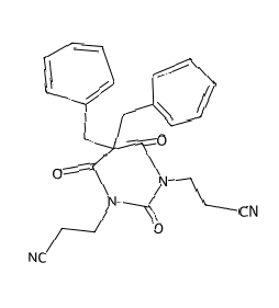 N#CCCN1C(=O)N(CCC#N)C(=O)C(Cc2ccccc2)(Cc2ccccc2)C1=O